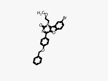 COCCn1c(=O)nc(-c2ccc(OCc3ccccc3)cc2)c2oc3ccc(Br)cc3c21